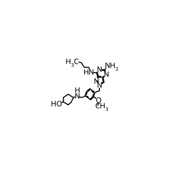 CCCCNc1nc(N)nc2cn(Cc3ccc(CNC4CCC(O)CC4)cc3OC)nc12